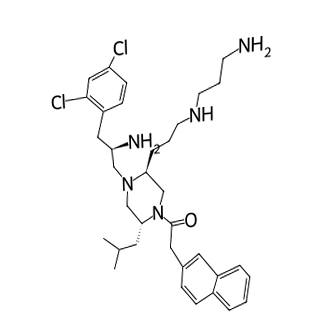 CC(C)C[C@@H]1CN(C[C@H](N)Cc2ccc(Cl)cc2Cl)[C@@H](CCCNCCCN)CN1C(=O)Cc1ccc2ccccc2c1